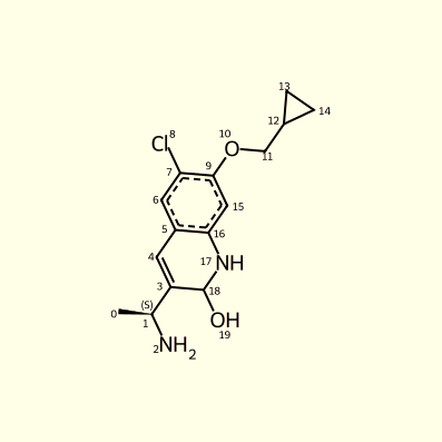 C[C@H](N)C1=Cc2cc(Cl)c(OCC3CC3)cc2NC1O